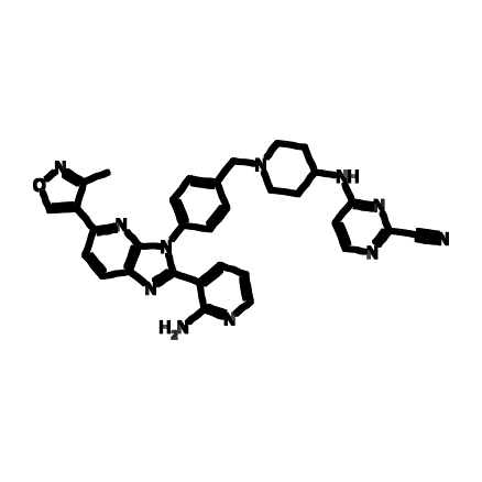 Cc1nocc1-c1ccc2nc(-c3cccnc3N)n(-c3ccc(CN4CCC(Nc5ccnc(C#N)n5)CC4)cc3)c2n1